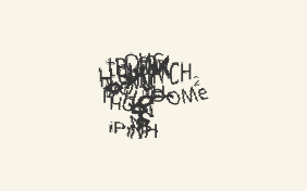 C=CC1C[C@@]1(C=O)NC(=O)C1C[C@@H](C2C=c3c(O)cc(-c4csc(NC(C)C)n4)nc3=CC2OCCOC)CN1C(=O)C(NC(=O)O[C@@H]1C[C@@H]2C[C@@H]2C1)C(C)(C)C